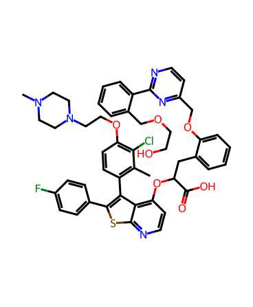 Cc1c(-c2c(-c3ccc(F)cc3)sc3nccc(OC(Cc4ccccc4OCc4ccnc(-c5ccccc5COCCO)n4)C(=O)O)c23)ccc(OCCN2CCN(C)CC2)c1Cl